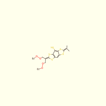 CCOOCC(COOCC)=C1Sc2cc3c(c(S)c2S1)SC(=C(C)C)S3